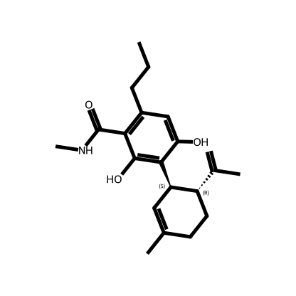 C=C(C)[C@@H]1CCC(C)=C[C@H]1c1c(O)cc(CCC)c(C(=O)NC)c1O